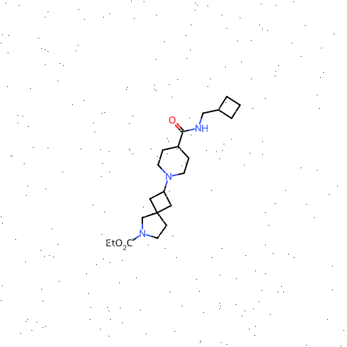 CCOC(=O)N1CCC2(CC(N3CCC(C(=O)NCC4CCC4)CC3)C2)C1